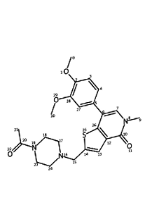 COc1ccc(-c2cn(C)c(=O)c3cc(CN4CCN(C(C)=O)CC4)sc23)cc1OC